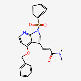 CN(C)C(=O)C=Cc1cn(S(=O)(=O)c2ccccc2)c2nccc(OCc3ccccc3)c12